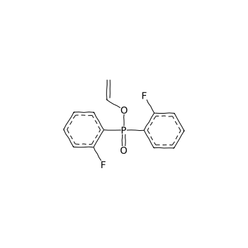 C=COP(=O)(c1ccccc1F)c1ccccc1F